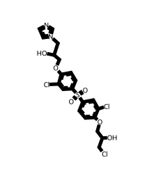 O=S(=O)(c1ccc(OCC(O)CCl)c(Cl)c1)c1ccc(OCC(O)Cn2ccnc2)c(Cl)c1